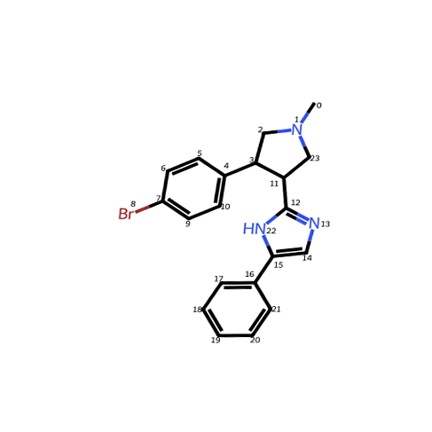 CN1CC(c2ccc(Br)cc2)C(c2ncc(-c3ccccc3)[nH]2)C1